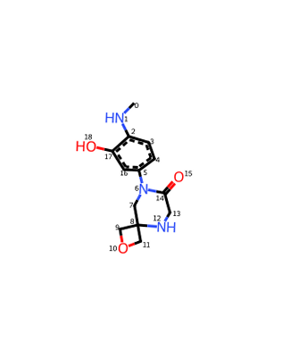 CNc1ccc(N2CC3(COC3)NCC2=O)cc1O